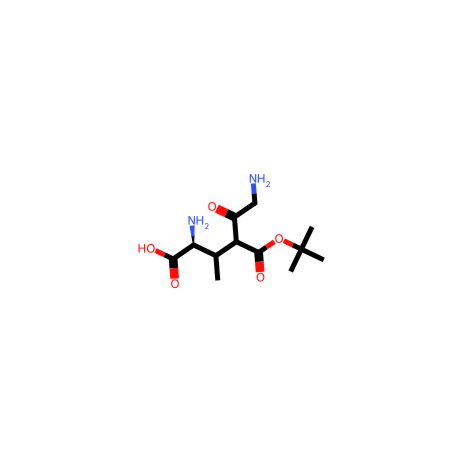 CC(C(C(=O)CN)C(=O)OC(C)(C)C)[C@H](N)C(=O)O